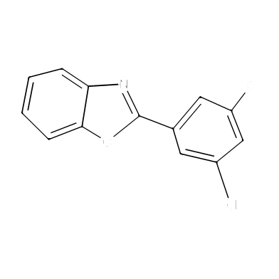 Clc1cc(Cl)cc(-c2nc3ccccc3o2)c1